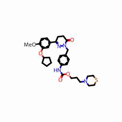 COc1ccc(C2=NN(Cc3ccc(NC(=O)OCCCN4CCSCC4)cc3)C(=O)CC2)cc1OC1CCCC1